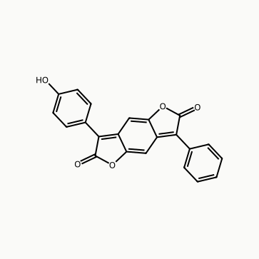 O=C1Oc2cc3c(cc2=C1c1ccccc1)OC(=O)C=3c1ccc(O)cc1